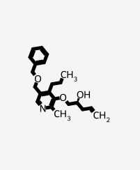 C=CC[C@H](O)COc1c(C)ncc(COCc2ccccc2)c1CCC